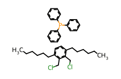 CCCCCCc1ccc(CCCCCC)c(CCl)c1CCl.c1ccc(P(c2ccccc2)c2ccccc2)cc1